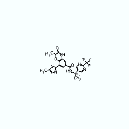 Cc1cnc(-c2cc(C(=O)N[C@H](C)c3cnc(C(F)(F)F)nc3)cc3c2OC(C)C(=O)N3)s1